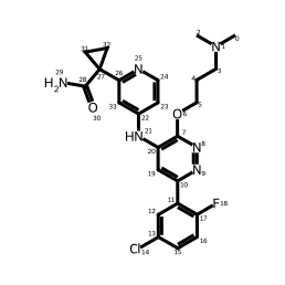 CN(C)CCCOc1nnc(-c2cc(Cl)ccc2F)cc1Nc1ccnc(C2(C(N)=O)CC2)c1